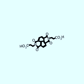 O=C(O)CCN1C(=O)c2ccc3c4c(ccc(c24)C1=O)C(=O)N(CCC(=O)O)C3=O